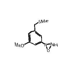 COc1cc(CSC)cc(-n2[nH]o2)c1